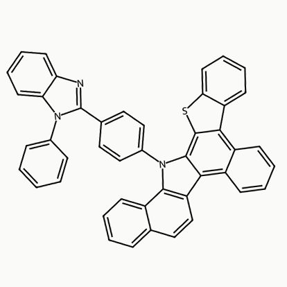 c1ccc(-n2c(-c3ccc(-n4c5c6ccccc6ccc5c5c6ccccc6c6c7ccccc7sc6c54)cc3)nc3ccccc32)cc1